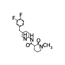 CN1CCCC(C(=O)NC2CCC(Cc3ccc(F)c(F)c3)CN2)C1=O